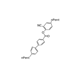 CCCCCc1ccc(-c2ccc(C(=O)Oc3ccc(CCCCC)cc3C#N)cc2)cc1